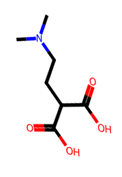 CN(C)CCC(C(=O)O)C(=O)O